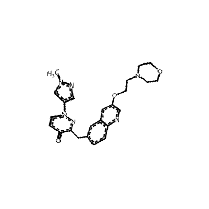 Cn1cc(-n2ccc(=O)c(Cc3ccc4ncc(OCCN5CCOCC5)cc4c3)n2)cn1